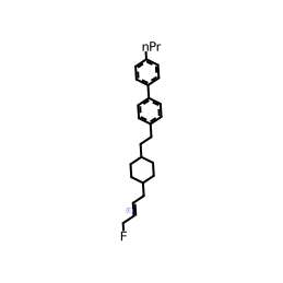 CCCc1ccc(-c2ccc(CCC3CCC(C/C=C/CF)CC3)cc2)cc1